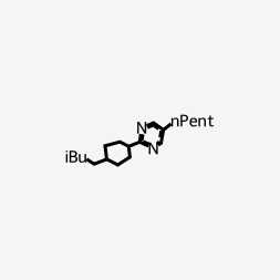 CCCCCc1cnc(C2CCC(CC(C)CC)CC2)nc1